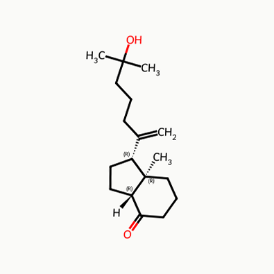 C=C(CCCC(C)(C)O)[C@H]1CC[C@H]2C(=O)CCC[C@]12C